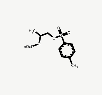 CCCCCCCCOC(C)COS(=O)(=O)c1ccc(C)cc1